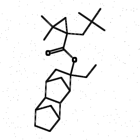 CCC1(OC(=O)C2(CC(C)(C)C)CC2(C)C)CC2CC1C1C3CCC(C3)C21